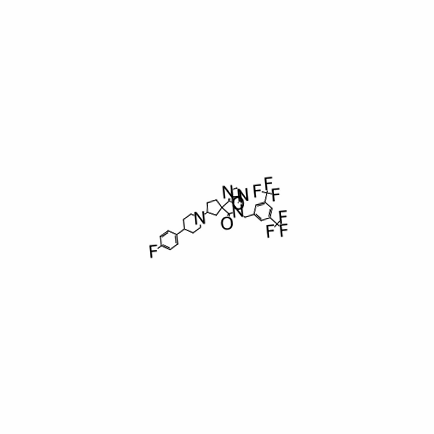 O=C(NCc1cc(C(F)(F)F)cc(C(F)(F)F)c1)C1(c2ncno2)CCC(N2CCC(c3ccc(F)cc3)CC2)C1